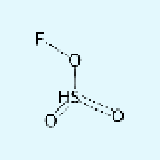 O=[SH](=O)OF